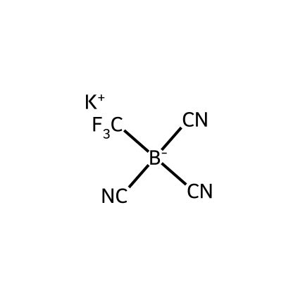 N#C[B-](C#N)(C#N)C(F)(F)F.[K+]